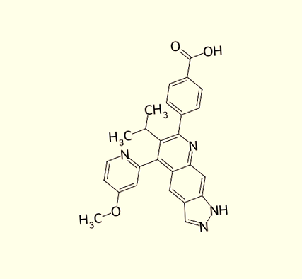 COc1ccnc(-c2c(C(C)C)c(-c3ccc(C(=O)O)cc3)nc3cc4[nH]ncc4cc23)c1